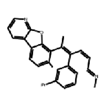 C/N=C/C=C\C(=C(/C)c1c(C)ccc2c1oc1ncccc12)c1cccc(C(C)C)c1